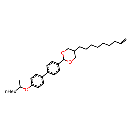 C=CCCCCCCCC1COC(c2ccc(-c3ccc(OC(C)CCCCCC)cc3)cc2)OC1